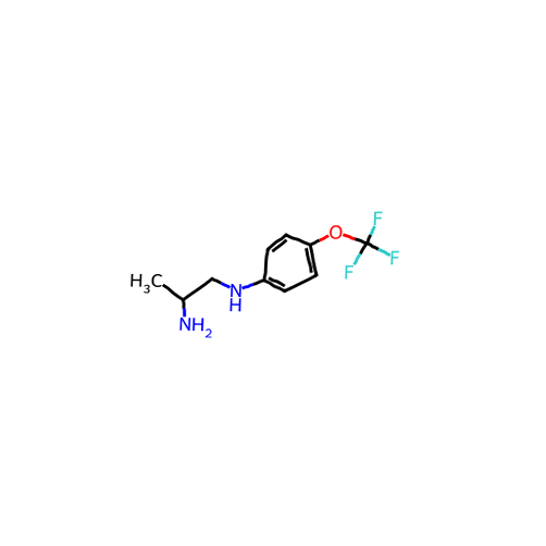 CC(N)CNc1ccc(OC(F)(F)F)cc1